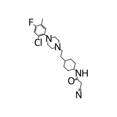 Cc1cc(N2CCN(CCC3CCC(NC(=O)CC#N)CC3)CC2)c(Cl)cc1F